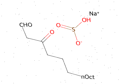 CCCCCCCCCCCC(=O)CC=O.O=S([O-])O.[Na+]